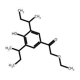 CCOCC(=O)c1cc(C(C)CC)c(O)c(C(C)CC)c1